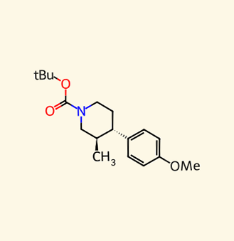 COc1ccc([C@H]2CCN(C(=O)OC(C)(C)C)C[C@@H]2C)cc1